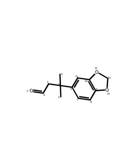 CC(C)(CC=O)c1ccc2c(c1)OCO2